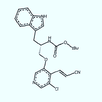 CC(C)(C)OC(=O)N[C@H](COc1cncc(Cl)c1C=CC#N)Cc1c[nH]c2ccccc12